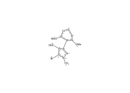 COc1cccc(OC)c1-c1nn(C)c(Br)c1C=O